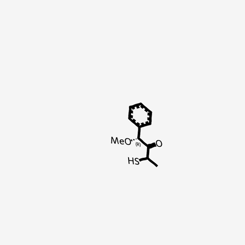 CO[C@@H](C(=O)C(C)S)c1ccccc1